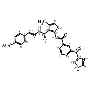 COc1ccc(/C=N/NC(=O)c2c(C)csc2NC(=O)c2cccc(C(S)c3nc[nH]n3)c2)cc1